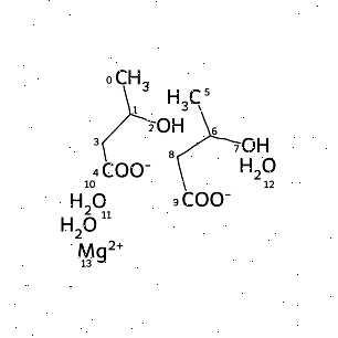 CC(O)CC(=O)[O-].CC(O)CC(=O)[O-].O.O.O.[Mg+2]